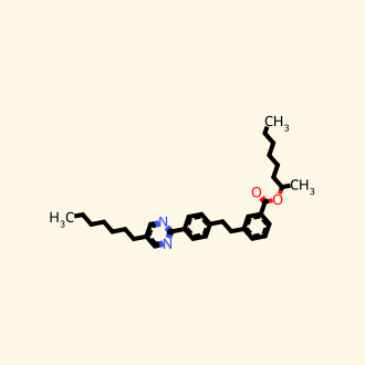 CCCCCCCc1cnc(-c2ccc(CCc3cccc(C(=O)OC(C)CCCCCC)c3)cc2)nc1